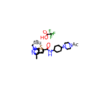 CC(=O)N1CCN(C2CCC(NC(=O)c3cc4c(C)nn(CC(C)(C)C)c4s3)CC2)CC1.O=C(O)C(F)(F)F